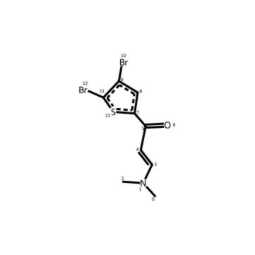 CN(C)C=CC(=O)c1cc(Br)c(Br)s1